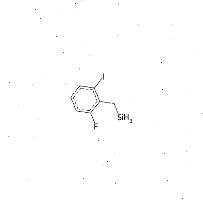 Fc1cccc(I)c1C[SiH3]